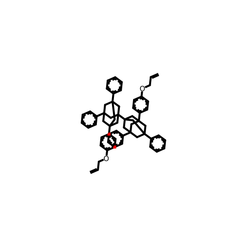 C=CCOc1ccc(C23CC4(c5ccccc5)CC(c5ccccc5)(C2)CC(C25CC6(c7ccccc7)CC(c7ccccc7)(CC(c7ccc(OCC=C)cc7)(C6)C2)C5)(C4)C3)cc1